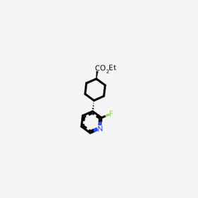 CCOC(=O)[C@H]1CC[C@H](c2cccnc2F)CC1